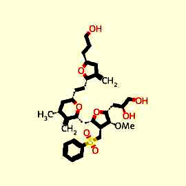 C=C1C[C@H](CCCO)O[C@H]1CC[C@H]1C[C@@H](C)C(=C)[C@@H](C[C@@H]2O[C@H](C[C@H](O)CO)[C@H](OC)[C@H]2CS(=O)(=O)c2ccccc2)O1